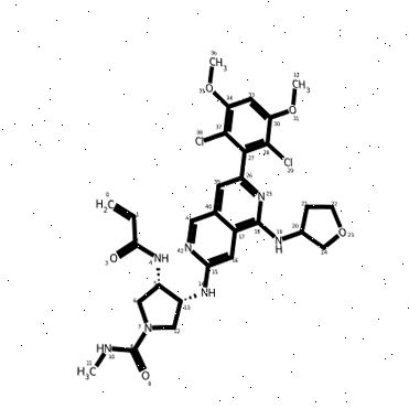 C=CC(=O)N[C@H]1CN(C(=O)NC)C[C@H]1Nc1cc2c(NC3CCOC3)nc(-c3c(Cl)c(OC)cc(OC)c3Cl)cc2cn1